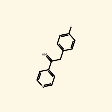 N=C(Cc1ccc(F)cc1)c1ccncc1